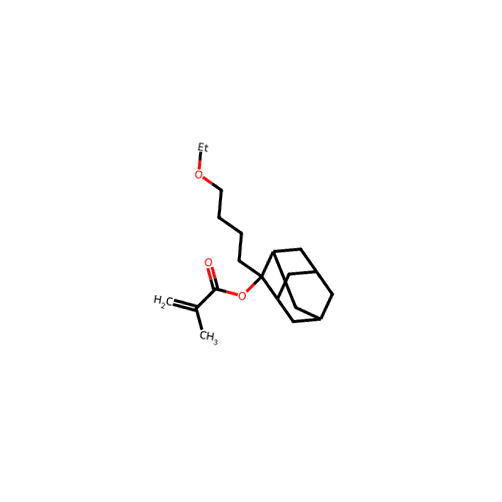 C=C(C)C(=O)OC1(CCCCOCC)C2CC3CC(C2)CC1C3